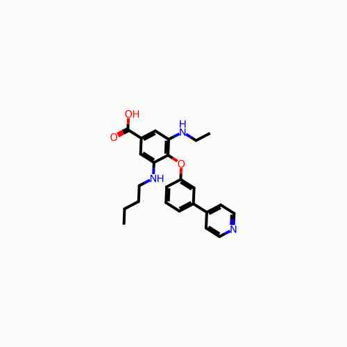 CCCCNc1cc(C(=O)O)cc(NCC)c1Oc1cccc(-c2ccncc2)c1